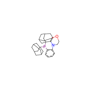 c1ccc(P(C23CC4CC(CC(C4)C2)C3)C23CC4CC(CC(C4)C2)C3)c(N2CCOCC2)c1